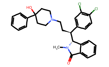 CN1C(=O)c2ccccc2[C@H]1[C@@H](CCN1CCC(O)(c2ccccc2)CC1)c1ccc(Cl)c(Cl)c1